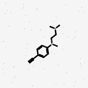 C#Cc1ccc(N(C)CCN(C)C)cc1